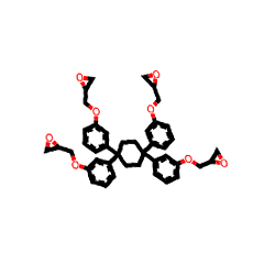 c1cc(OCC2CO2)cc(C2(c3cccc(OCC4CO4)c3)CCC(c3cccc(OCC4CO4)c3)(c3cccc(OCC4CO4)c3)CC2)c1